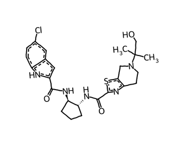 CC(C)(CO)N1CCc2nc(C(=O)N[C@@H]3CCC[C@H]3NC(=O)c3cc4cc(Cl)ccc4[nH]3)sc2C1